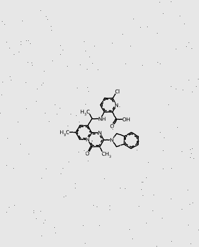 Cc1cc(C(C)Nc2ccc(Cl)nc2C(=O)O)c2nc(N3Cc4ccccc4C3)c(C)c(=O)n2c1